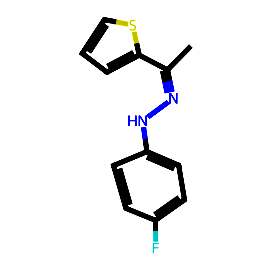 CC(=NNc1ccc(F)cc1)c1cccs1